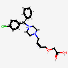 O=C(O)COC/C=C\CN1CCN([C@H](c2ccccc2)c2ccc(Cl)cc2)CC1